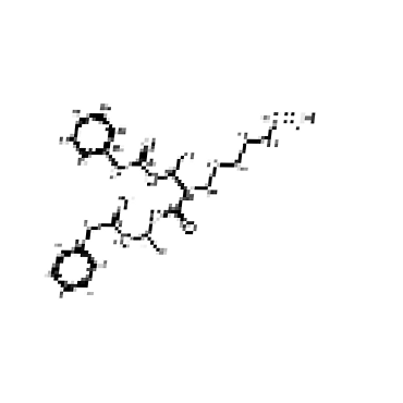 CC(OC(=O)Cc1ccccc1)OC(=O)C(CCCCCC(=O)O)C(C)OC(=O)Cc1ccccc1